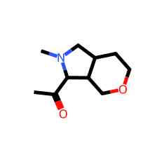 CC(=O)C1C2COCCC2CN1C